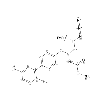 CCOC(=O)[C@@H](C[C@@H](Cc1ccc(-c2cc(Cl)ccc2F)cc1)NC(=O)OC(C)(C)C)N=[N+]=[N-]